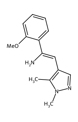 COc1ccccc1C(N)=Cc1cnn(C)c1C